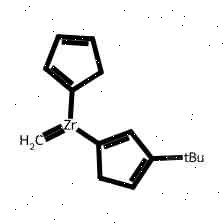 [CH2]=[Zr]([C]1=CC=CC1)[C]1=CC(C(C)(C)C)=CC1